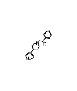 O=C(CN1CCC(c2ccncc2)CC1)c1ccccc1